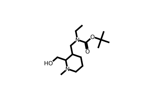 CCN(CC1CCCN(C)C1CO)C(=O)OC(C)(C)C